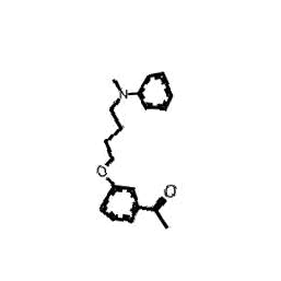 CC(=O)c1cccc(OCCCCN(C)c2ccccc2)c1